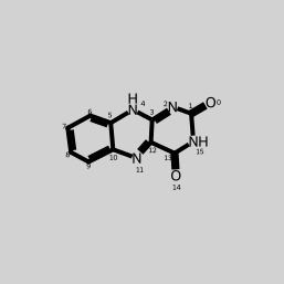 O=c1nc2[nH]c3ccccc3nc-2c(=O)[nH]1